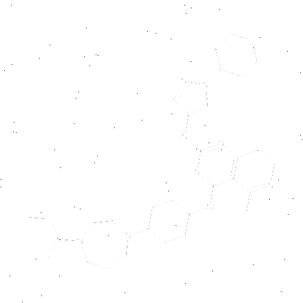 COC(=O)N1CCCN(C2CCC(Nc3nc(Nc4cnn(C5CCOCC5)c4)nc4c3C(C)=NCC4)CC2)CC1